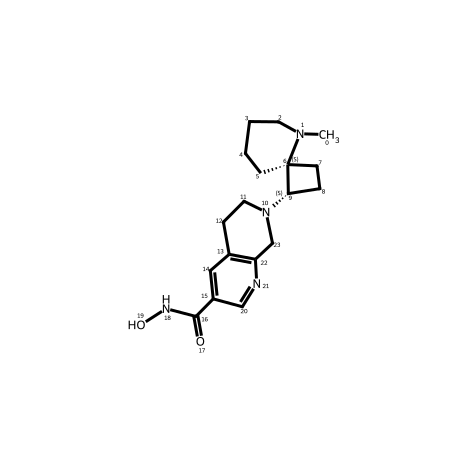 CN1CCCC[C@@]12CC[C@@H]2N1CCc2cc(C(=O)NO)cnc2C1